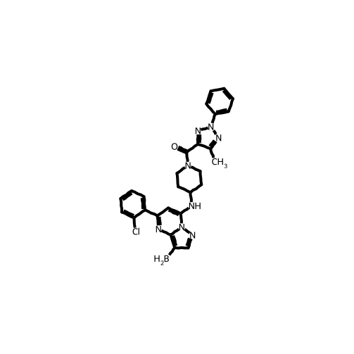 Bc1cnn2c(NC3CCN(C(=O)c4nn(-c5ccccc5)nc4C)CC3)cc(-c3ccccc3Cl)nc12